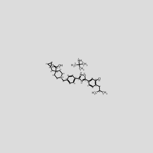 CC(C)(C)N.CC(C)Cc1ccc(-c2nc(-c3ccc(CN4CCC(CC5CC5)(C(=O)O)CC4)cc3)no2)cc1Cl